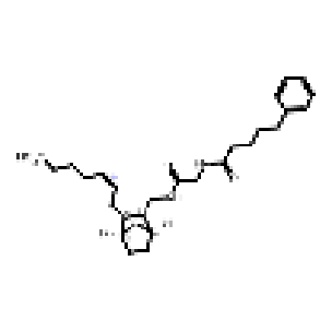 O=C(O)CCC/C=C\C[C@H]1[C@@H](CNC(=O)CNC(=O)CCCCc2ccccc2)[C@H]2CC[C@@H]1O2